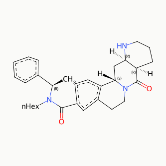 CCCCCCN(C(=O)c1ccc2c(c1)CCN1C(=O)[C@@H]3CCCN[C@@H]3C[C@@H]21)[C@H](C)c1ccccc1